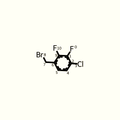 Fc1c(Cl)ccc(CBr)c1F